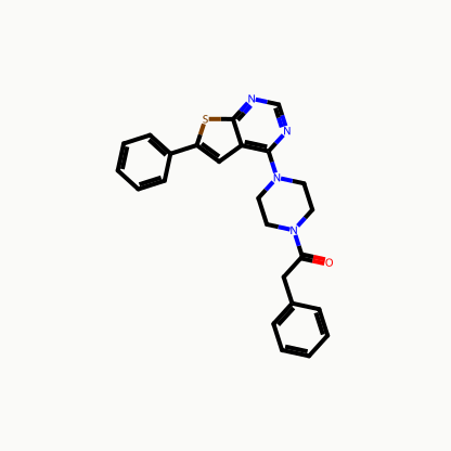 O=C(Cc1ccccc1)N1CCN(c2ncnc3sc(-c4ccccc4)cc23)CC1